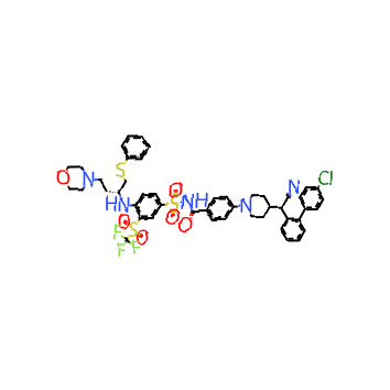 N#CC(c1ccccc1-c1ccc(Cl)cc1)C1CCN(c2ccc(C(=O)NS(=O)(=O)c3ccc(N[C@H](CCN4CCOCC4)CSc4ccccc4)c(S(=O)(=O)C(F)(F)F)c3)cc2)CC1